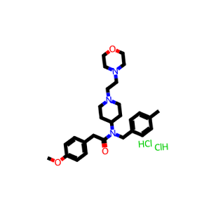 COc1ccc(CC(=O)N(Cc2ccc(C)cc2)C2CCN(CCN3CCOCC3)CC2)cc1.Cl.Cl